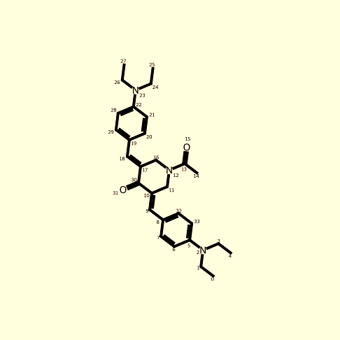 CCN(CC)c1ccc(C=C2CN(C(C)=O)CC(=Cc3ccc(N(CC)CC)cc3)C2=O)cc1